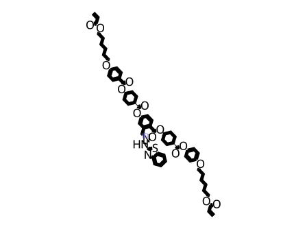 C=CC(=O)OCCCCCCOc1ccc(OC(=O)[C@H]2CC[C@H](OC(=O)c3ccc(OC(=O)[C@H]4CC[C@H](OC(=O)c5ccc(OCCCCCCOC(=O)C=C)cc5)CC4)cc3/C=N/Nc3nc4ccccc4s3)CC2)cc1